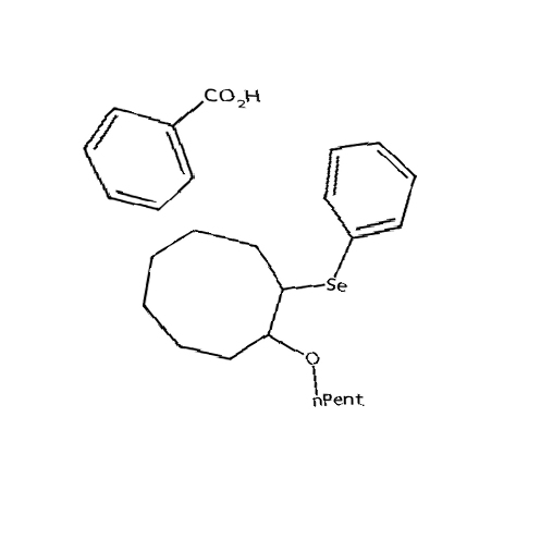 CCCCCOC1CCCCCCC1[Se]c1ccccc1.O=C(O)c1ccccc1